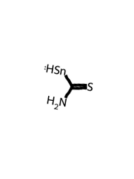 N[C](=S)[SnH]